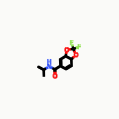 CC(C)NC(=O)C1=CC2OC(F)(F)OC2C=C1